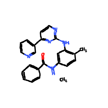 C.Cc1ccc(NC(=O)c2ccccc2)cc1Nc1nccc(-c2cccnc2)n1